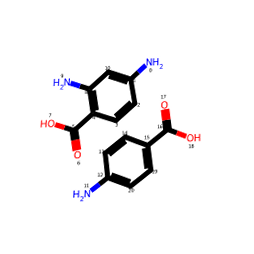 Nc1ccc(C(=O)O)c(N)c1.Nc1ccc(C(=O)O)cc1